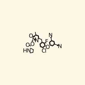 Cc1cc(Cc2ccc(Cl)c(Oc3cc(C#N)cc(C#N)c3)c2F)nn(COC(=O)[C@@H]2CCCN2)c1=O